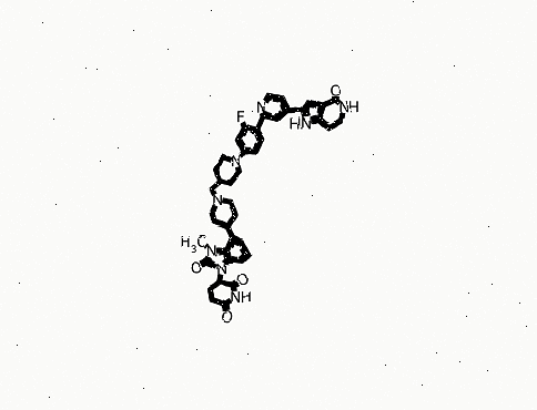 Cn1c(=O)n(C2CCC(=O)NC2=O)c2cccc(C3CCN(CC4CCN(c5ccc(-c6cc(-c7cc8c([nH]7)CCNC8=O)ccn6)c(F)c5)CC4)CC3)c21